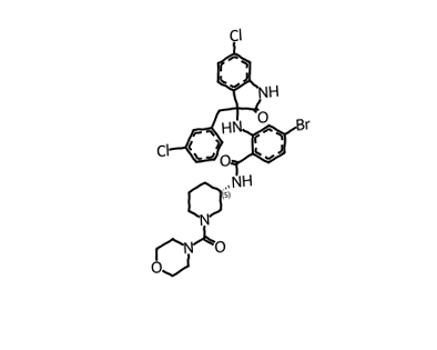 O=C(N[C@H]1CCCN(C(=O)N2CCOCC2)C1)c1ccc(Br)cc1NC1(Cc2cccc(Cl)c2)C(=O)Nc2cc(Cl)ccc21